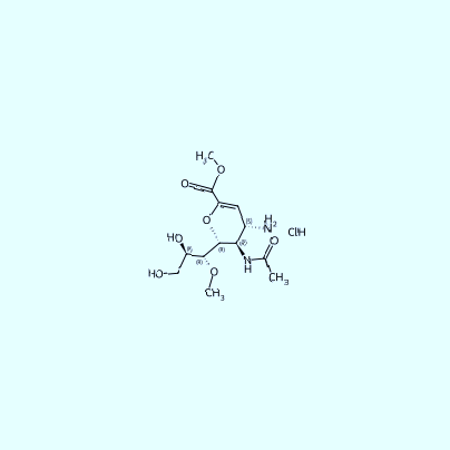 COC(=O)C1=C[C@H](N)[C@@H](NC(C)=O)[C@H]([C@H](OC)[C@H](O)CO)O1.Cl